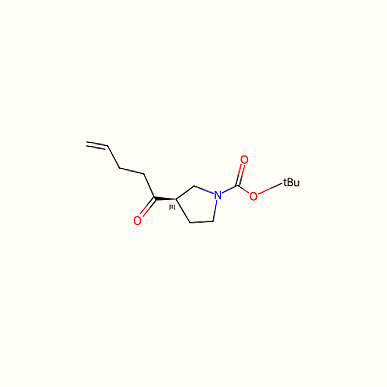 C=CCCC(=O)[C@@H]1CCN(C(=O)OC(C)(C)C)C1